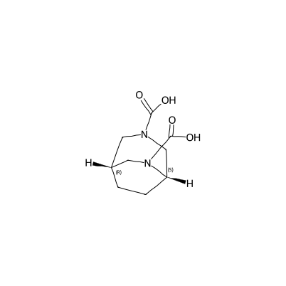 O=C(O)N1C[C@H]2CC[C@@H](C1)N(C(=O)O)C2